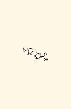 COc1ccc(Cc2cc(F)cc(C(=O)O)c2)cc1